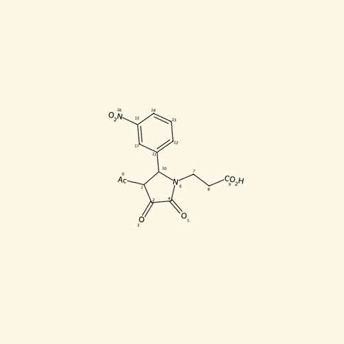 CC(=O)C1C(=O)C(=O)N(CCC(=O)O)C1c1cccc([N+](=O)[O-])c1